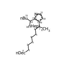 CCCCCCCCCCCCCCCCC(C)n1ccnc1C(CCCC)CCCCCCC